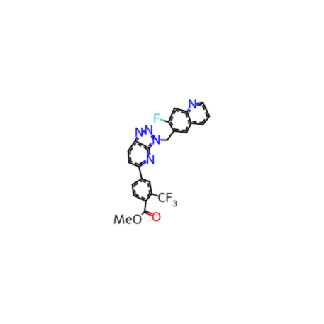 COC(=O)c1ccc(-c2ccc3nnn(Cc4cc5cccnc5cc4F)c3n2)cc1C(F)(F)F